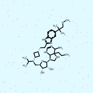 CCCC12NCN([C@@H]3O[C@H](CN(C(C)C)[C@H]4C[C@@H](CCc5nc6cc(C(C)(C)COC)ccc6[nH]5)C4)[C@@H](O)[C@H]3O)C1NC=NC2N